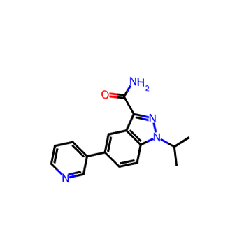 CC(C)n1nc(C(N)=O)c2cc(-c3cccnc3)ccc21